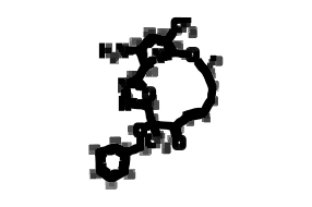 C[C@@H]1CC/C=C/C(=O)C(OCc2ccccc2)(C(F)(F)F)c2nnc(o2)-c2nc(c(C(F)(F)F)cc2N)O1